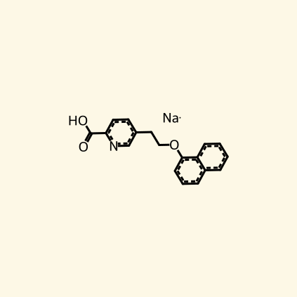 O=C(O)c1ccc(CCOc2cccc3ccccc23)cn1.[Na]